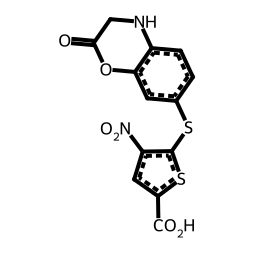 O=C1CNc2ccc(Sc3sc(C(=O)O)cc3[N+](=O)[O-])cc2O1